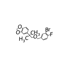 CC(C)(COCc1ccc(F)c(Br)c1)c1ccc2c(c1)OCO2